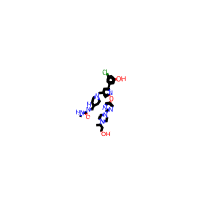 CNC(=O)NCC1CCN(Cc2cc(Oc3cnc(N4CCN(C(C)CCO)CC4)nc3)nc(-c3cc(O)cc(Cl)c3)c2)CC1